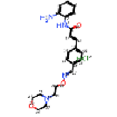 Cl.Nc1ccccc1NC(=O)C=Cc1ccc(C=NOCCN2CCOCC2)cc1